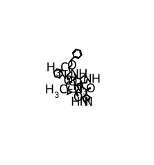 C[C@@H](OCc1ccccc1)[C@H](NC(=O)C1CNCC12CN(C(=O)[C@H]1CC1(C)C)C2C(=O)c1cn[nH]c1)C(=O)N1CCCCC1